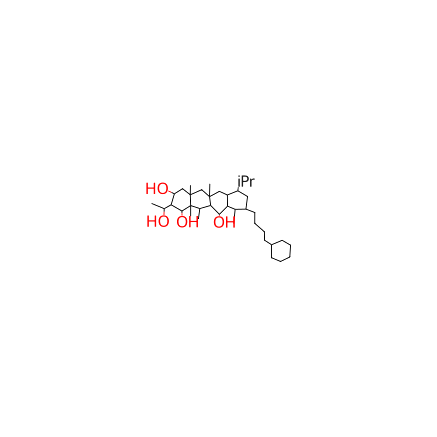 CC(C)C1CC(CCCCC2CCCCC2)C(C)C2C(O)C3C(C)C4(C)C(O)C(C(C)O)C(O)CC4(C)CC3(C)CC12